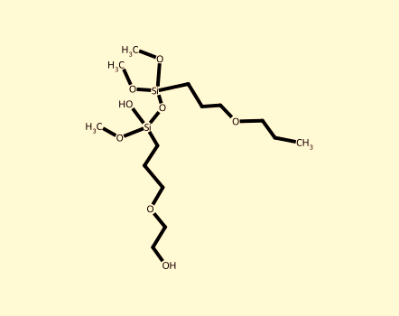 CCCOCCC[Si](OC)(OC)O[Si](O)(CCCOCCO)OC